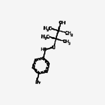 CC(C)c1ccc(BOC(C)(C)C(C)(C)O)cc1